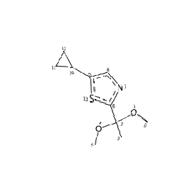 COC(C)(OC)c1ncc(C2CC2)s1